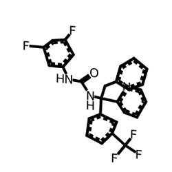 O=C(Nc1cc(F)cc(F)c1)NC(Cc1ccccc1)(c1cccc(C(F)(F)F)c1)c1ccccn1